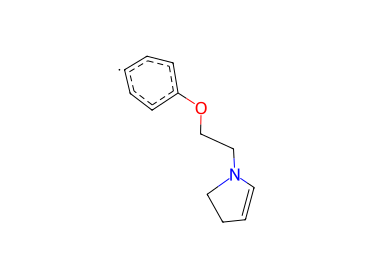 [c]1ccc(OCCN2C=CCC2)cc1